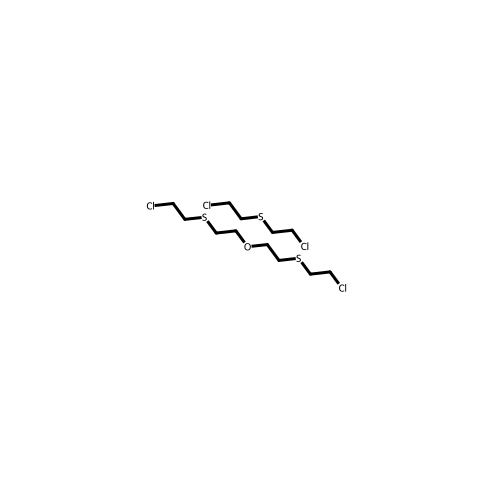 ClCCSCCCl.ClCCSCCOCCSCCCl